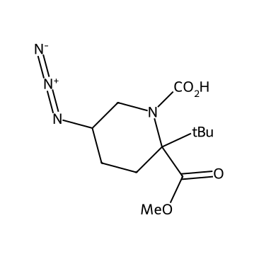 COC(=O)C1(C(C)(C)C)CCC(N=[N+]=[N-])CN1C(=O)O